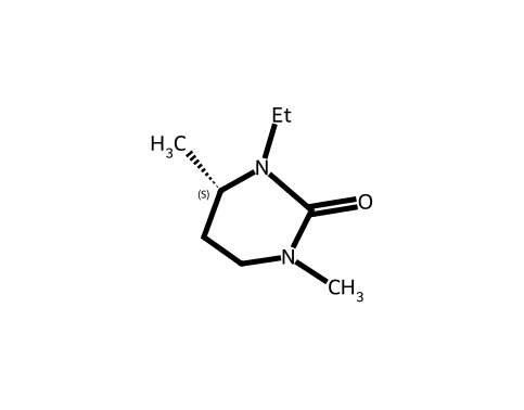 CCN1C(=O)N(C)CC[C@@H]1C